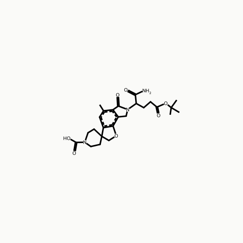 Cc1cc2c(c3c1C(=O)N(C(CCC(=O)OC(C)(C)C)C(N)=O)C3)OCC21CCN(C(=O)O)CC1